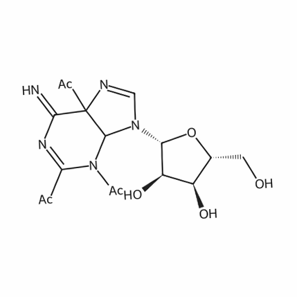 CC(=O)C1=NC(=N)C2(C(C)=O)N=CN([C@@H]3O[C@H](CO)[C@@H](O)[C@H]3O)C2N1C(C)=O